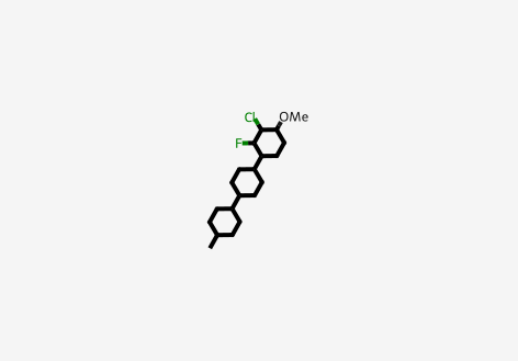 COC1CCC(C2CCC(C3CCC(C)CC3)CC2)C(F)C1Cl